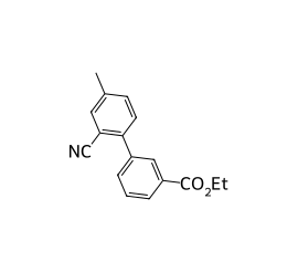 CCOC(=O)c1cccc(-c2ccc(C)cc2C#N)c1